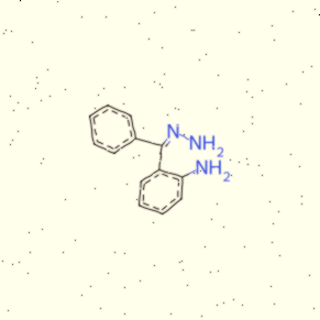 NN=C(c1ccccc1)c1ccccc1N